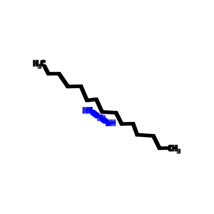 CCCCCCCCCCCCCCC.N=[N+]=N